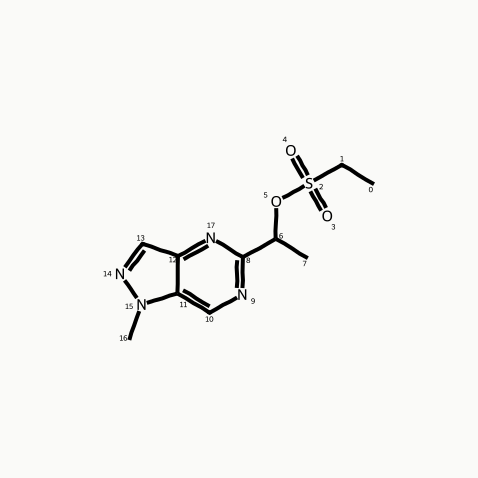 CCS(=O)(=O)OC(C)c1ncc2c(cnn2C)n1